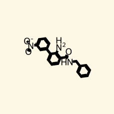 Nc1c(C(=O)NCc2ccccc2)cccc1-c1cccc([N+](=O)[O-])c1